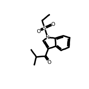 CCS(=O)(=O)n1cc(C(=O)C(C)C)c2ccccc21